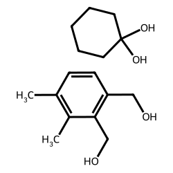 Cc1ccc(CO)c(CO)c1C.OC1(O)CCCCC1